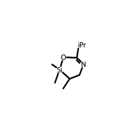 CC(C)C1=NCC(C)[Si](C)(C)O1